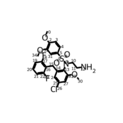 COc1ccc(S(=O)(=O)N(CCN)c2c(Cc3c(F)cccc3F)cc(Cl)cc2OC)cc1OC